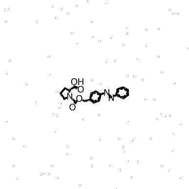 O=C(O)C1CCCN1C(=O)OCc1ccc(/N=N/c2ccccc2)cc1